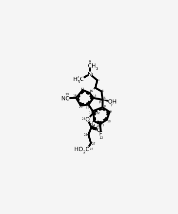 CN(C)CCC[C@](O)(c1ccc(F)cc1)c1ccc(C#N)cc1COC(=O)CCC(=O)O